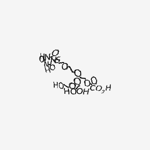 O=C(O)C(=O)OCC(OCCOCCSn1c(=O)[nH]c(=O)[nH]c1=O)OCC(O)(O)OCCO